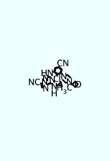 CC1(N2CCN(c3cc(C#N)cc(Nc4nc(NC5CC5)c5ncc(C#N)n5n4)c3Cl)CC2)COC1